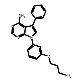 NCCCOc1cccc(-n2cc(-c3ccccc3)c3c(N)ncnc32)c1